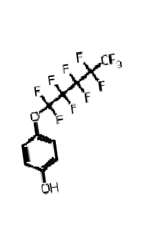 Oc1ccc(OC(F)(F)C(F)(F)C(F)(F)C(F)(F)C(F)(F)F)cc1